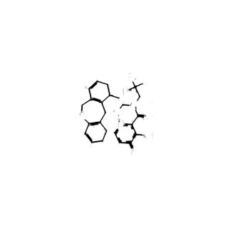 CC1CC=CC2=C1[C@H](N1CN([C@@H](C)C(F)(F)F)C(=O)c3c(O)c(=O)ccn31)C1=C(C=CCC1)SC2